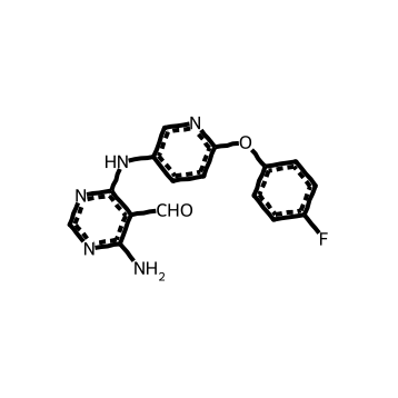 Nc1ncnc(Nc2ccc(Oc3ccc(F)cc3)nc2)c1C=O